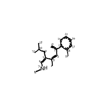 C=C(/C=C(C)\C(=C/NC)CC(C)C)c1ccccc1C